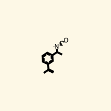 C=C(C)c1cccc(C(C)[N+]=C=O)c1